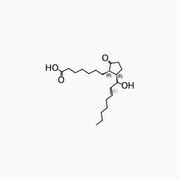 CCCCC/C=C/C(O)[C@@H]1CCC(=O)[C@@H]1CCCCCCC(=O)O